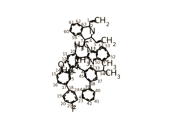 C=CC1=NC(C=C)C(CCc2cc3oc4ccc(-c5ccc(F)cc5)cc4c3cc2-c2n(-c3c(C(C)C)cc(-c4ccccc4)cc3C(C)C)c3ccccc3[n+]2C)c2ccccc21